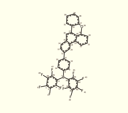 Fc1c(F)c(F)c(B(c2ccc(-c3ccc4cc5c6c(cccc6c4c3)Oc3ccccc3-5)cc2)c2c(F)c(F)c(F)c(F)c2F)c(F)c1F